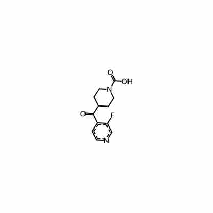 O=C(c1ccncc1F)C1CCN(C(=O)O)CC1